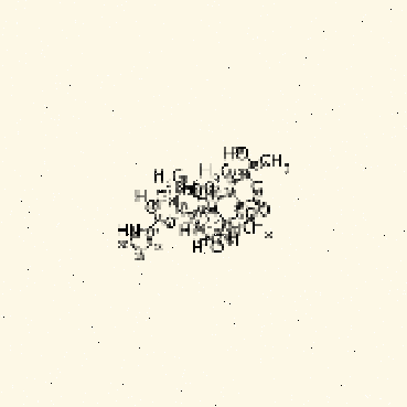 CO[C@]12C[C@H]3[C@@H]4O[C@@H]4[C@@H]4C[C@]3(O[C@H]4[C@H](OC(=O)c3ccc[nH]3)[C@H](C)[C@H](C)O)C(C)=C1[C@@H](C)[C@@H]([C@@H](C)O)OC2=O